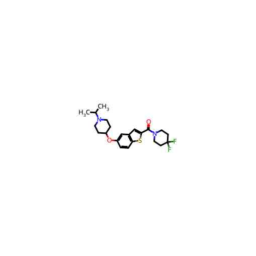 CC(C)N1CCC(Oc2ccc3sc(C(=O)N4CCC(F)(F)CC4)cc3c2)CC1